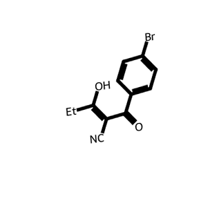 CCC(O)=C(C#N)C(=O)c1ccc(Br)cc1